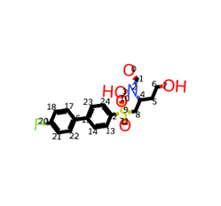 O=CN(O)C(CCO)CS(=O)(=O)c1ccc(-c2ccc(F)cc2)cc1